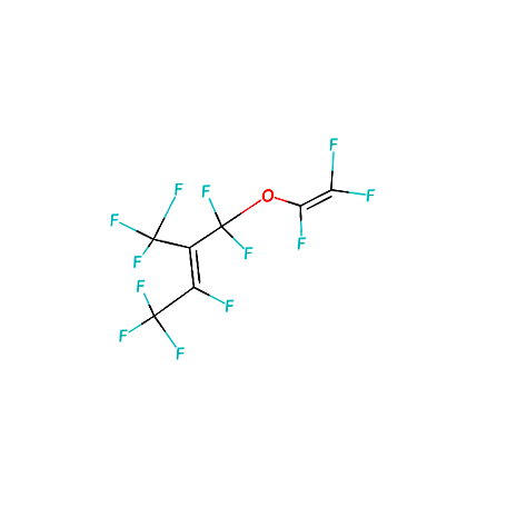 FC(F)=C(F)OC(F)(F)C(=C(F)C(F)(F)F)C(F)(F)F